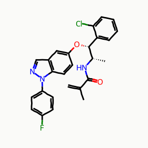 C=C(C)C(=O)N[C@@H](C)[C@H](Oc1ccc2c(cnn2-c2ccc(F)cc2)c1)c1ccccc1Cl